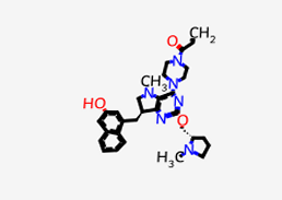 C=CC(=O)N1CCN(c2nc(OC[C@@H]3CCCN3C)nc3c2N(C)C[C@@H]3Cc2cc(O)cc3ccccc23)CC1